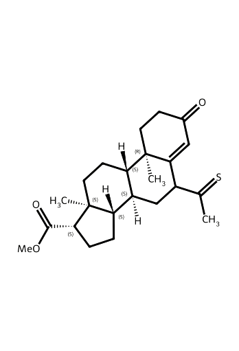 COC(=O)[C@H]1CC[C@H]2[C@@H]3CC(C(C)=S)C4=CC(=O)CC[C@]4(C)[C@H]3CC[C@]12C